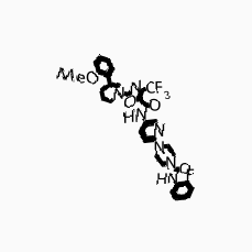 COc1ccccc1C1CCCN(c2nc(C(F)(F)F)c(C(=O)Nc3ccc(N4CCN(C(=O)Nc5ccccc5F)CC4)nc3)o2)C1